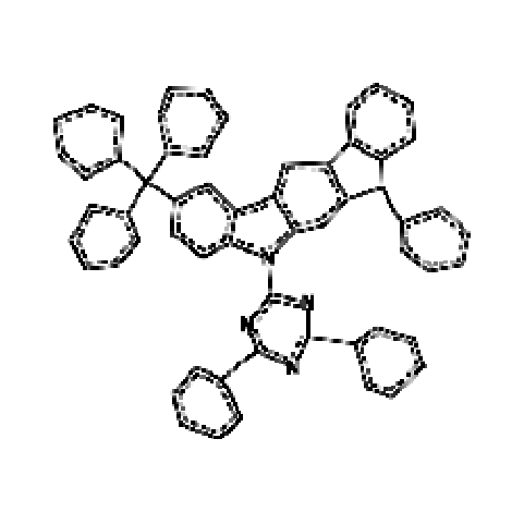 c1ccc(-c2nc(-c3ccccc3)nc(-n3c4ccc(C(c5ccccc5)(c5ccccc5)c5ccccc5)cc4c4cc5c(cc43)C(c3ccccc3)c3ccccc3-5)n2)cc1